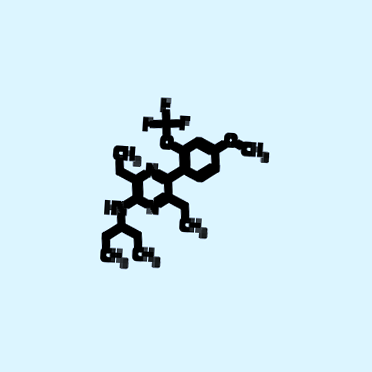 CCc1nc(-c2ccc(OC)cc2OC(F)(F)F)c(CC)nc1NC(CC)CC